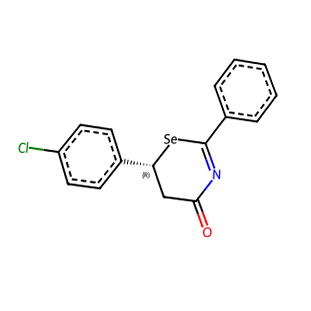 O=C1C[C@H](c2ccc(Cl)cc2)[Se]C(c2ccccc2)=N1